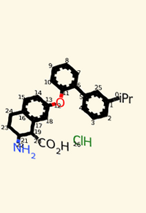 CC(C)c1cccc(-c2ccccc2Oc2ccc3c(c2)C(C(=O)O)C(N)CC3)c1.Cl